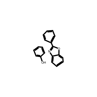 Oc1ccccc1.c1ccc(-c2nc3ccccc3o2)cc1